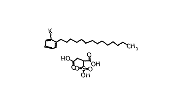 CCCCCCCCCCCCCCc1cccc[c]1[K].O=C(O)CC(C(=O)O)S(=O)(=O)O